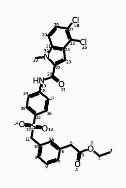 CCOC(=O)Cc1cccc(CS(=O)(=O)c2ccc(NC(=O)c3cc4c(Cl)c(Cl)ccc4n3C)cc2)c1